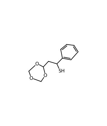 SC(CC1OCOCO1)c1ccccc1